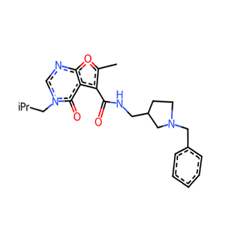 Cc1oc2ncn(CC(C)C)c(=O)c2c1C(=O)NCC1CCN(Cc2ccccc2)C1